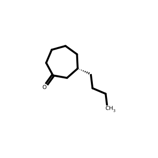 CCCC[C@H]1CCCCC(=O)C1